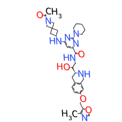 CC(=O)N1CC2(CC(Nc3cc(C(=O)NCC(O)[C@@H]4Cc5ccc(OCc6ocnc6C)cc5CN4)nc(N4CCCCC4)n3)C2)C1